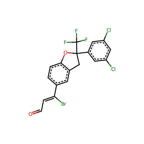 O=CC=C(Br)c1ccc2c(c1)CC(c1cc(Cl)cc(Cl)c1)(C(F)(F)F)O2